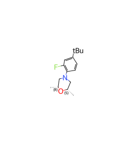 C[C@@H]1CN(c2ccc(C(C)(C)C)cc2F)C[C@H](C)O1